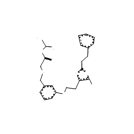 Cc1oc(CCc2ccccc2)nc1CCOc1[c]c(CNCC(=O)OC(C)C)ccc1